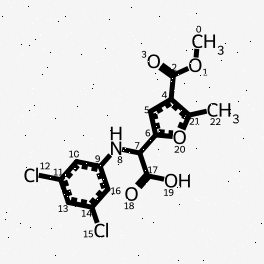 COC(=O)c1cc(C(Nc2cc(Cl)cc(Cl)c2)C(=O)O)oc1C